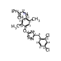 Cc1cc(Oc2nc(Cc3ccc(Cl)cc3Cl)ns2)c(C)cc1/N=C\N(C)C(C)C